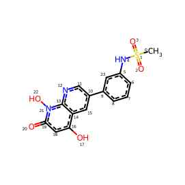 CS(=O)(=O)Nc1cccc(-c2cnc3c(c2)c(O)cc(=O)n3O)c1